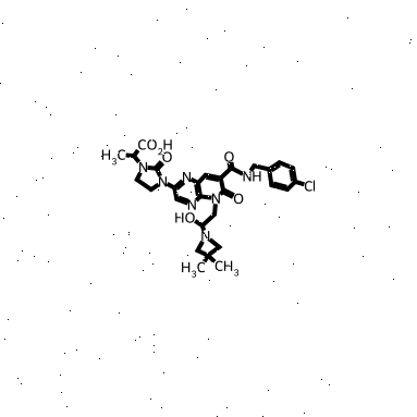 CC(C(=O)O)N1CCN(c2cnc3c(cc(C(=O)NCc4ccc(Cl)cc4)c(=O)n3CC(O)N3CC(C)(C)C3)n2)C1=O